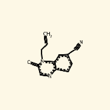 C=CCn1c(=O)cnc2ccc(C#N)cc21